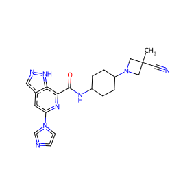 CC1(C#N)CN(C2CCC(NC(=O)c3nc(-n4ccnc4)cc4cn[nH]c34)CC2)C1